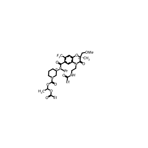 CCC(=O)NCCN1C(=O)[C@](C)(COC)Oc2cc(C(F)(F)F)c(C(=O)N(C(C)C)[C@@H]3CCCN(C(=O)OC(C)OC(=O)CC)C3)cc21